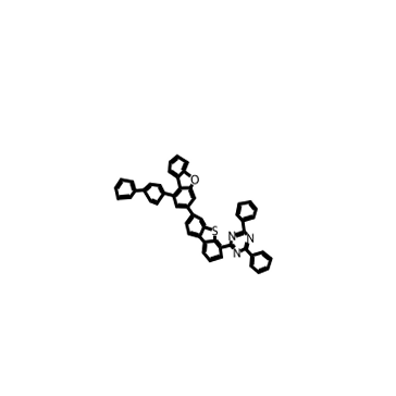 c1ccc(-c2ccc(-c3cc(-c4ccc5c(c4)sc4c(-c6nc(-c7ccccc7)nc(-c7ccccc7)n6)cccc45)cc4oc5ccccc5c34)cc2)cc1